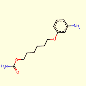 NC(=O)OCCCCCCOc1cccc(N)c1